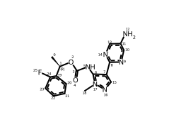 C[C@@H](OC(=O)Nc1c(-c2ncc(N)cn2)cnn1C)c1ccccc1F